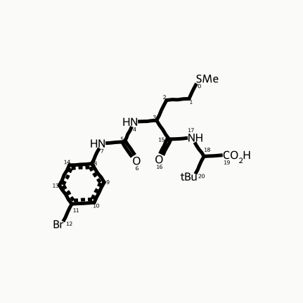 CSCCC(NC(=O)Nc1ccc(Br)cc1)C(=O)NC(C(=O)O)C(C)(C)C